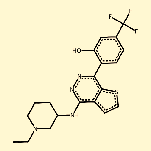 CCN1CCCC(Nc2nnc(-c3ccc(C(F)(F)F)cc3O)c3sccc23)C1